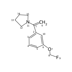 C=C(c1cccc(OCF)c1)N1CCCC1